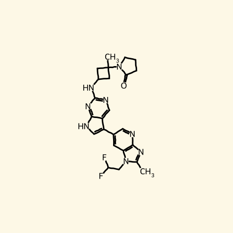 Cc1nc2ncc(-c3c[nH]c4nc(NC5CC(C)(N6CCCC6=O)C5)ncc34)cc2n1CC(F)F